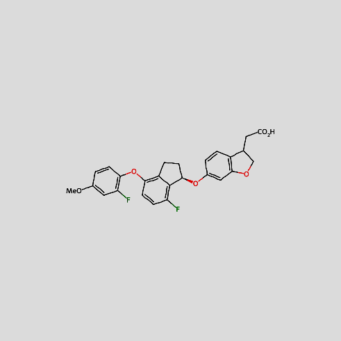 COc1ccc(Oc2ccc(F)c3c2CC[C@H]3Oc2ccc3c(c2)OCC3CC(=O)O)c(F)c1